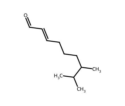 CC(C)C(C)CCC/C=C/C=O